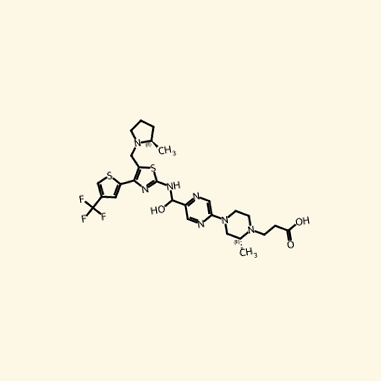 C[C@@H]1CN(c2cnc(C(O)Nc3nc(-c4cc(C(F)(F)F)cs4)c(CN4CCC[C@H]4C)s3)cn2)CCN1CCC(=O)O